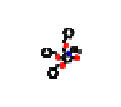 CN1C(=O)C[C@@H](OCc2ccccc2)[C@@H](OCc2ccccc2)[C@H]1COCc1ccccc1